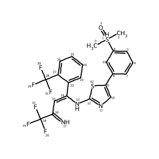 C[SH](C)(=O)c1cccc(-c2cnc(N/C(=C\C(=N)C(F)(F)F)c3ccccc3C(F)(F)F)s2)c1